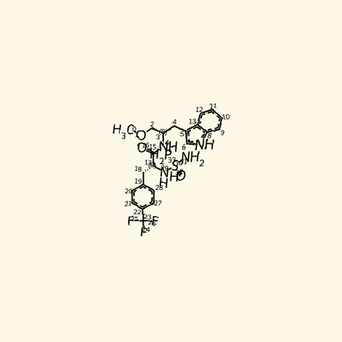 COC[C@@H](Cc1c[nH]c2ccccc12)NC(=O)[C@@H](Cc1ccc(C(F)(F)F)cc1)N[SH](N)(=O)P